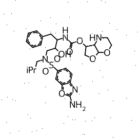 CC(C)CN(CC(O)C(Cc1ccccc1)NC(=O)OC1COC2OCCNC12)S(=O)(=O)c1ccc2nc(N)oc2c1